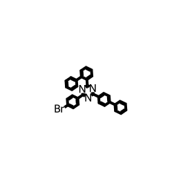 Brc1ccc(-c2nc(-c3ccc(-c4ccccc4)cc3)nc(-c3ccccc3-c3ccccc3)n2)cc1